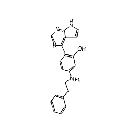 Oc1cc(NCCc2ccccc2)ccc1-c1ncnc2[nH]ccc12